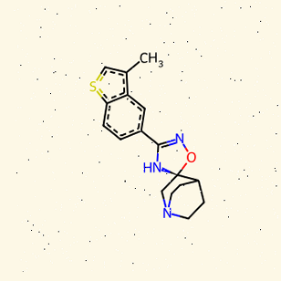 Cc1csc2ccc(C3=NO[C@]4(CN5CCC4CC5)N3)cc12